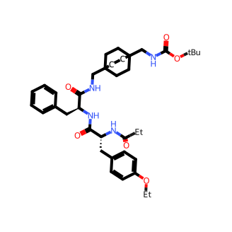 CCOc1ccc(C[C@@H](NC(=O)CC)C(=O)N[C@@H](Cc2ccccc2)C(=O)NCC23CCC(CNC(=O)OC(C)(C)C)(CC2)CC3)cc1